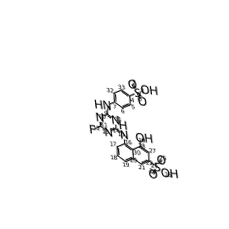 O=S(=O)(O)c1ccc(Nc2nc(F)nc(Nc3cccc4cc(S(=O)(=O)O)cc(O)c34)n2)cc1